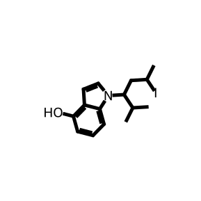 CC(I)CC(C(C)C)n1ccc2c(O)cccc21